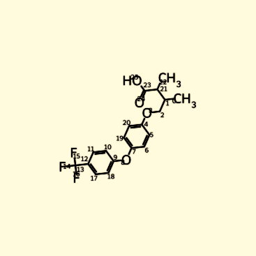 CC(COc1ccc(Oc2ccc(C(F)(F)F)cc2)cc1)C(C)C(=O)O